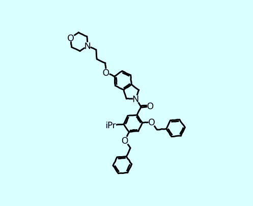 CC(C)c1cc(C(=O)N2Cc3ccc(OCCCN4CCOCC4)cc3C2)c(OCc2ccccc2)cc1OCc1ccccc1